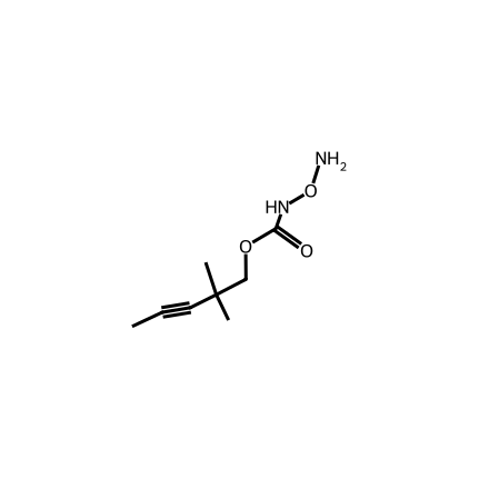 CC#CC(C)(C)COC(=O)NON